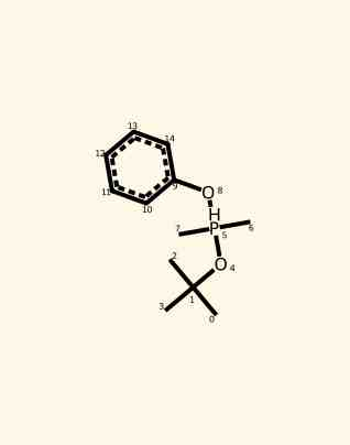 CC(C)(C)O[PH](C)(C)Oc1ccccc1